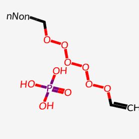 C=COOOOOOCCCCCCCCCC.O=P(O)(O)O